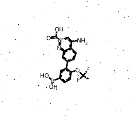 CC(F)(F)Oc1ccc(B(O)O)cc1-c1ccc2c(N)c[n+](C(=O)O)nc2c1